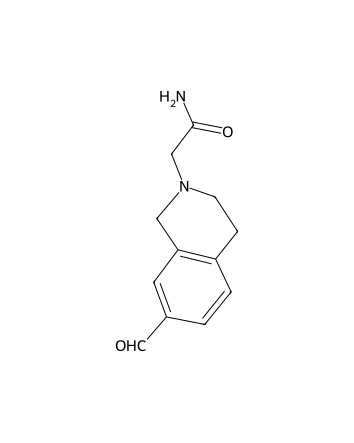 NC(=O)CN1CCc2ccc(C=O)cc2C1